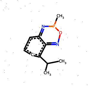 CC(C)c1cccc2c1=NOP(C)N=2